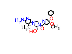 COc1cc(C(=O)N2CCN(c3cnc(N)cc3C)CC2CO)ncc1Oc1ccccc1